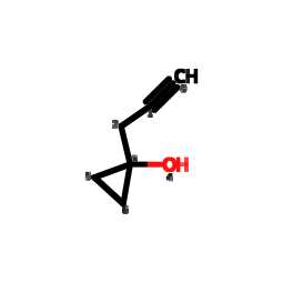 C#CCC1(O)CC1